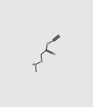 C#COC(=O)CONC